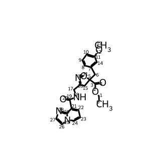 CCOC(=O)C1(Cc2cccc(OC)c2)CC(CNC(=O)c2cccn3ccnc23)=NO1